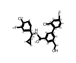 O=C(N[C@H](c1ccc(Cl)c(F)c1)C1CC1)c1cc(CO)cc(-c2ccc(F)cc2Cl)c1